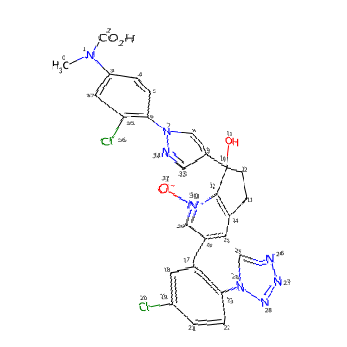 CN(C(=O)O)c1ccc(-n2cc(C3(O)CCc4cc(-c5cc(Cl)ccc5-n5cnnn5)c[n+]([O-])c43)cn2)c(Cl)c1